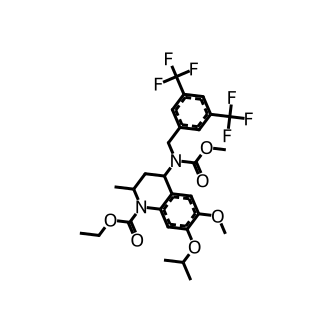 CCOC(=O)N1c2cc(OC(C)C)c(OC)cc2C(N(Cc2cc(C(F)(F)F)cc(C(F)(F)F)c2)C(=O)OC)CC1C